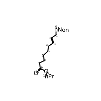 CCCCCCCCCCC=CCCCCCC(=O)OCCC